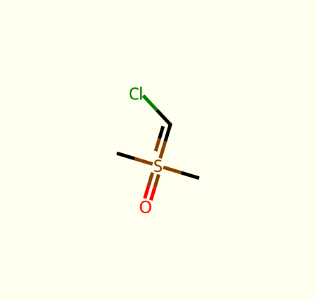 CS(C)(=O)=CCl